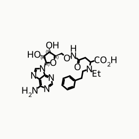 CCN(CCc1ccccc1)C(CC(=O)NOC[C@H]1O[C@@H](n2cnc3c(N)ncnc32)[C@H](O)[C@@H]1O)C(=O)O